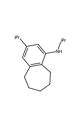 CC(C)Nc1cc(C(C)C)cc2c1CCCCC2